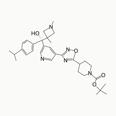 CC(C)c1ccc([C@](O)(c2cncc(-c3noc(C4CCN(C(=O)OC(C)(C)C)CC4)n3)c2)C2(C)CN(C)C2)cc1